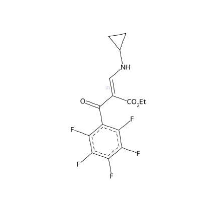 CCOC(=O)/C(=C\NC1CC1)C(=O)c1c(F)c(F)c(F)c(F)c1F